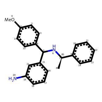 COc1ccc(C(N[C@H](C)c2ccccc2)c2cccc(N)c2)cc1